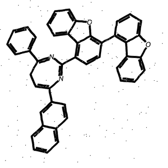 C1=C(c2ccc3ccccc3c2)N=C(c2ccc(-c3cccc4oc5ccccc5c34)c3oc4ccccc4c23)N=C(c2ccccc2)C1